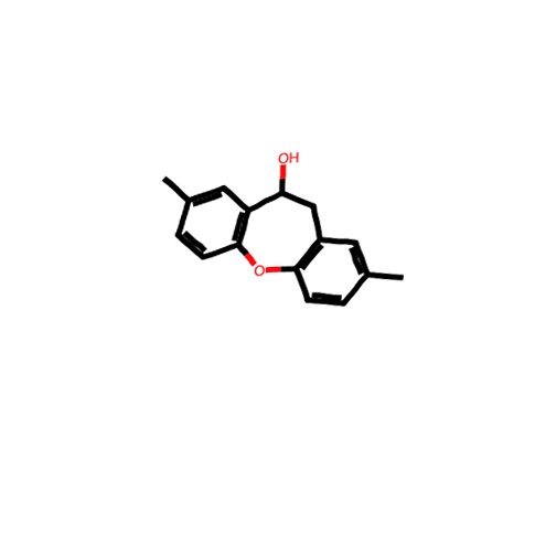 Cc1ccc2c(c1)CC(O)c1cc(C)ccc1O2